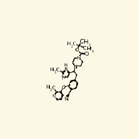 Cc1ncc(C(Cc2ccc(C#N)c(Oc3cccnc3C)c2)N2CCN(C(=O)OC(C)(C)C)CC2)[nH]1